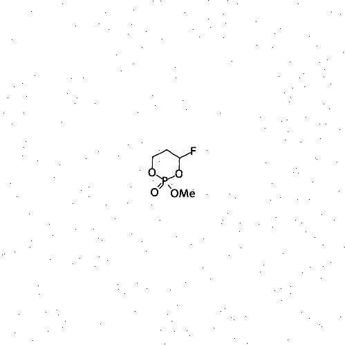 COP1(=O)OCCC(F)O1